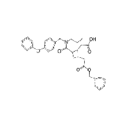 CCCN(Cc1ccc(Oc2ccccc2)cc1)C(=O)C1CC(CC(=O)OCc2ccccc2)C1CC(=O)O